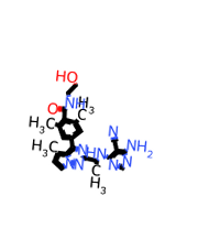 Cc1cc(-c2nc(C(C)Nc3ncnc(N)c3C#N)nn3ccc(C)c23)cc(C)c1C(=O)NCCO